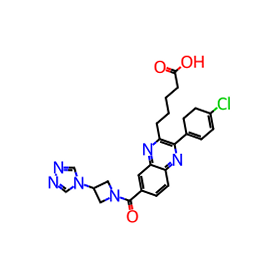 O=C(O)CCCCc1nc2cc(C(=O)N3CC(n4cnnc4)C3)ccc2nc1C1=CC=C(Cl)CC1